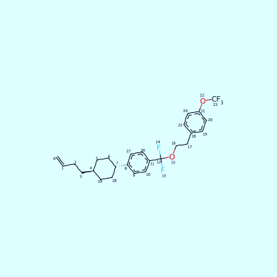 C=CCC[C@H]1CC[C@H](c2ccc(C(F)(F)OCCc3ccc(OC(F)(F)F)cc3)cc2)CC1